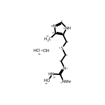 CN/C(=N/CCSCc1[nH]cnc1C)NO.Cl.Cl